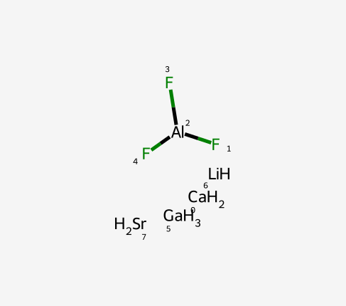 [CaH2].[F][Al]([F])[F].[GaH3].[LiH].[SrH2]